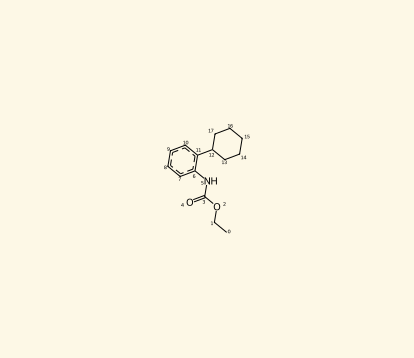 CCOC(=O)Nc1ccccc1C1CCCCC1